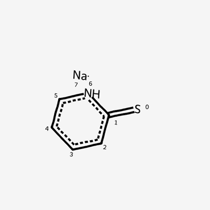 S=c1cccc[nH]1.[Na]